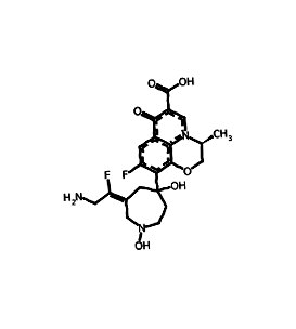 C[C@H]1COc2c(C3(O)CCN(O)CC(=C(F)CN)C3)c(F)cc3c(=O)c(C(=O)O)cn1c23